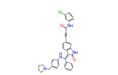 O=C(C#Cc1ccc2c(c1)NC(=O)C2=C(Nc1ccc(CN2CCCC2)cc1)c1ccccc1)Nc1cccc(Cl)c1